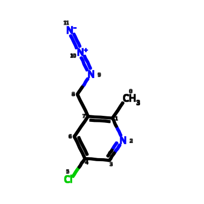 Cc1ncc(Cl)cc1CN=[N+]=[N-]